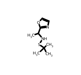 CC(NSC(C)(C)C)c1ncco1